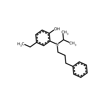 CCc1ccc(O)c(N(CCCc2ccccc2)C(C)C)c1